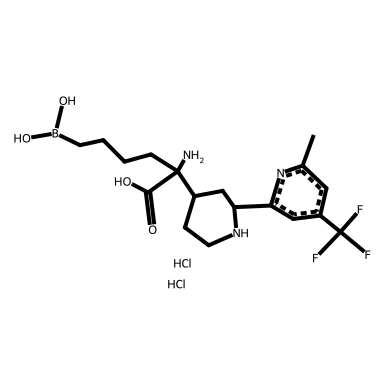 Cc1cc(C(F)(F)F)cc(C2CC(C(N)(CCCCB(O)O)C(=O)O)CCN2)n1.Cl.Cl